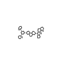 c1ccc(-c2cc(-c3ccc4c(ccc5cc(-c6c7ccccc7nc7c6ccc6cccnc67)ccc54)c3)cc(-c3ccccn3)c2)nc1